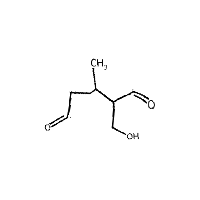 CC(C[C]=O)C([C]=O)CO